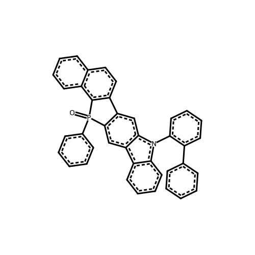 O=P1(c2ccccc2)c2cc3c4ccccc4n(-c4ccccc4-c4ccccc4)c3cc2-c2ccc3ccccc3c21